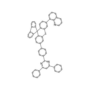 c1ccc(-c2cc(-c3ccccc3)nc(-c3ccc(-c4ccc5c(c4)Sc4cc(-c6cccc7cccnc67)ccc4C54c5ccccc5-c5ccccc54)cc3)n2)cc1